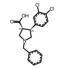 O=C(O)[C@@H]1CN(Cc2ccccc2)C[C@@H]1c1ccc(Cl)c(Cl)c1